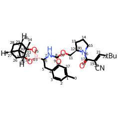 Cc1ccc(CC(NC(=O)OC[C@H]2CCCN2C(=O)C(C#N)=CC(C)(C)C)B2O[C@@H]3C[C@@H]4C[C@@H](C4(C)C)[C@]3(C)O2)cc1